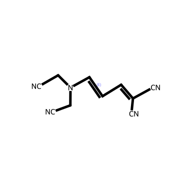 N#CCN(/C=C/C=C(C#N)C#N)CC#N